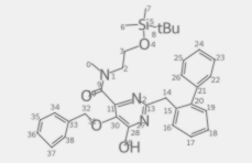 CN(CCO[Si](C)(C)C(C)(C)C)C(=O)c1nc(Cc2ccccc2-c2ccccc2)nc(O)c1OCc1ccccc1